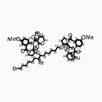 COc1ccc2c(c1)C(=O)N1CCC(OCCCCCCC(OC3CCN4C(=O)c5cc(OC)ccc5N(C(=O)OC(C)(C)C)[C@@H](OC5CCCCO5)[C@H]34)C(Br)CCCCCCBr)[C@H]1[C@H](OC1CCCCO1)N2C(=O)OC(C)(C)C